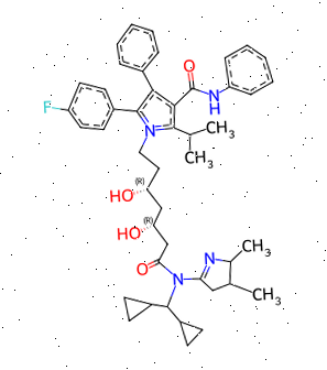 CC(C)c1c(C(=O)Nc2ccccc2)c(-c2ccccc2)c(-c2ccc(F)cc2)n1CC[C@@H](O)C[C@@H](O)CC(=O)N(C1=NC(C)C(C)C1)C(C1CC1)C1CC1